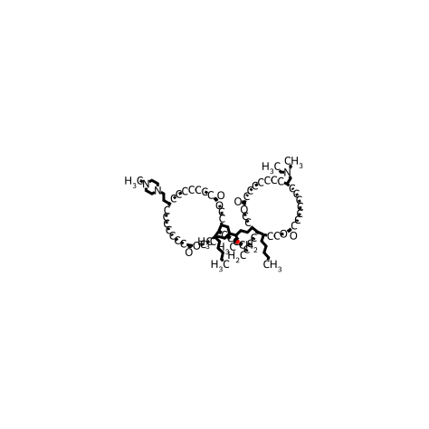 C=C=C=C=C1C(CCCCC)CCOC(=O)CCCCCCCC(CN(CC)CC)CCCCCCCC(=O)OCCC1CCC(CC)C(CCC)CC1CCOC(=O)CCCCCCCC(CCN2CCN(C)CC2)CCCCCCCC(=O)OCCC(CCCCC)C1=C=C=C=C